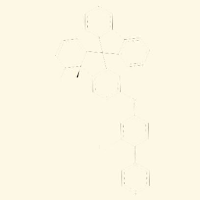 Cc1cc(Nc2ccc3c(c2)C2(C4=CC=CC(C)[C@H]43)c3ccccc3-c3ccccc32)ccc1-c1ccccc1